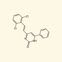 O=c1nc(/C=C/c2c(Cl)cccc2Cl)cc(-c2ccccc2)[nH]1